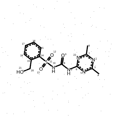 Cc1nc(C)nc(NC(=O)NS(=O)(=O)c2ccccc2CO)n1